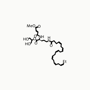 CC/C=C\C/C=C\C/C=C\C/C=C\C/C=C\C/C=C\CCC(=O)NCCC[C@H](NC(=O)/C=C/C(=O)OC)C(=O)OC(CO)CO